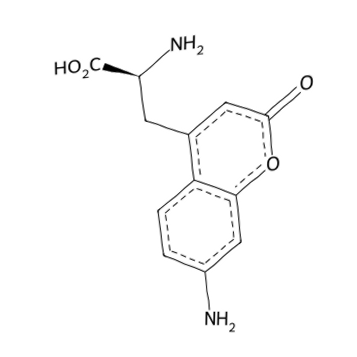 Nc1ccc2c(C[C@H](N)C(=O)O)cc(=O)oc2c1